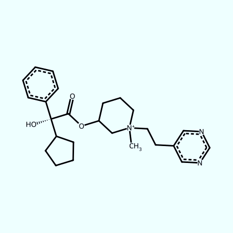 C[N+]1(CCc2cncnc2)CCCC(OC(=O)[C@](O)(c2ccccc2)C2CCCC2)C1